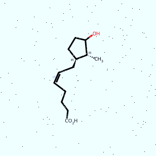 C[C@H]1C(O)CC[C@@H]1C/C=C\CCCC(=O)O